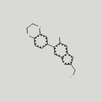 CC(=O)NCc1cc2cc(Cl)c(-c3ccc4c(c3)NCCO4)cc2[nH]1